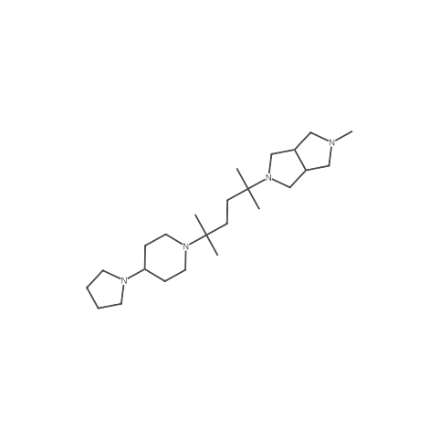 CN1CC2CN(C(C)(C)CCC(C)(C)N3CCC(N4CCCC4)CC3)CC2C1